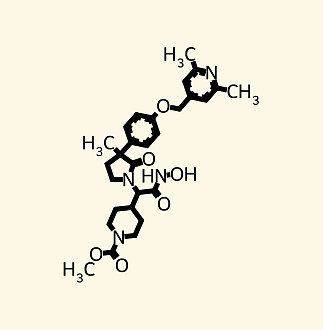 COC(=O)N1CCC(C(C(=O)NO)N2CCC(C)(c3ccc(OCc4cc(C)nc(C)c4)cc3)C2=O)CC1